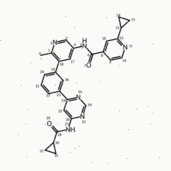 Cc1ncc(NC(=O)c2ccnc(C3CC3)c2)cc1-c1cccc(-c2cc(NC(=O)C3CC3)ncn2)c1